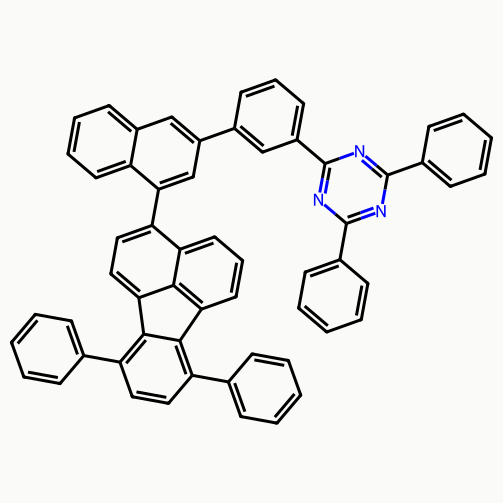 c1ccc(-c2nc(-c3ccccc3)nc(-c3cccc(-c4cc(-c5ccc6c7c(cccc57)-c5c(-c7ccccc7)ccc(-c7ccccc7)c5-6)c5ccccc5c4)c3)n2)cc1